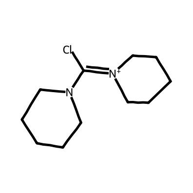 ClC(N1CCCCC1)=[N+]1CCCCC1